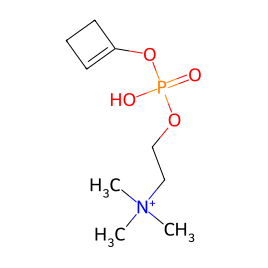 C[N+](C)(C)CCOP(=O)(O)OC1=CCC1